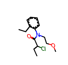 CCc1ccccc1N(CCOC)C(=O)C(Cl)CC